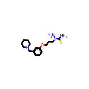 NC(=S)N(N)CCCOc1cccc(CN2CCCCC2)c1